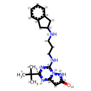 CC(C)(C)c1nc(NCCCNC2Cc3ccccc3C2)n2[nH]c(=O)cc2n1